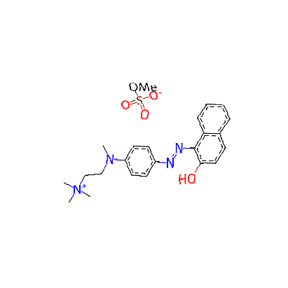 CN(CC[N+](C)(C)C)c1ccc(N=Nc2c(O)ccc3ccccc23)cc1.COS(=O)(=O)[O-]